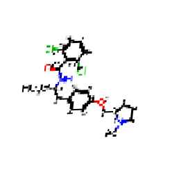 CC(=O)N1CCC[C@@H]1COc1ccc(C[C@H](NC(=O)c2c(Cl)cccc2Cl)C(=O)O)cc1